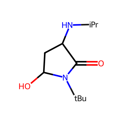 CC(C)NC1CC(O)N(C(C)(C)C)C1=O